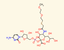 COCCOCCSCC(=O)N[C@H]1C([C@H](O)[C@H](O)CO)O[C@](OP(=O)(O)OCC2OC(n3ccc(N)nc3=O)[C@H](O)[C@@H]2O)(C(=O)O)C[C@H]1O